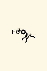 CCCC[N+](CCCC)(CCCC)Cc1ccc(C(C)O)cc1